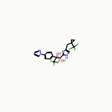 O[C@@H](c1nc(CC2(C(F)(F)F)CC2)c[nH]1)[C@@](O)(c1ccc(-n2cccn2)cc1)C(F)(F)F